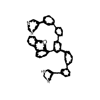 C1=NCNC=C1c1cccc(-c2cccc(-c3cc(-c4cccc(-c5cccc(-c6cncnc6)c5)c4)cc(-c4cccc5c4oc4ccccc45)c3)c2)c1